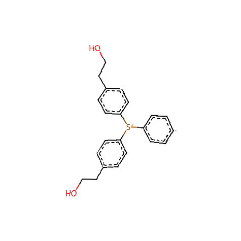 OCCc1ccc([S+](c2cc[c]cc2)c2ccc(CCO)cc2)cc1